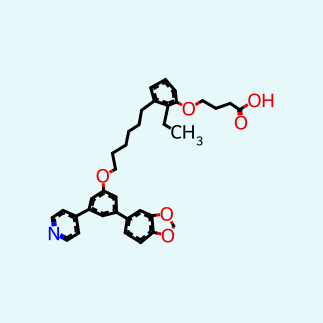 CCc1c(CCCCCCOc2cc(-c3ccncc3)cc(-c3ccc4c(c3)OCO4)c2)cccc1OCCCC(=O)O